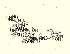 CC(C)CC(NC(=O)C(CCCNC(=N)N)NC(=O)C(CCC(N)=O)NC(=O)C(CC1CCC(O)CC1)NC(=O)C(CC(=O)O)NC(=O)C(CO)NC(=O)C(C)NC(=O)CNC(=O)C1CCC(CCSC2OC(CO)C(O)C(O)C2O)CC1)C(=O)NC(CS)C(=O)O